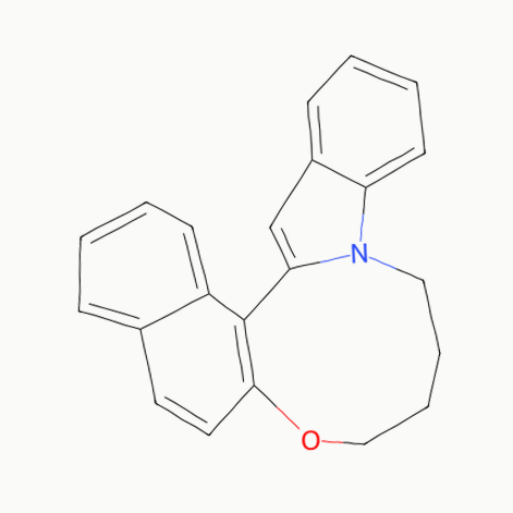 c1ccc2c3c(ccc2c1)OCCCCn1c-3cc2ccccc21